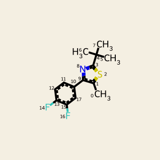 Cc1sc(C(C)(C)C)nc1-c1ccc(F)c(F)c1